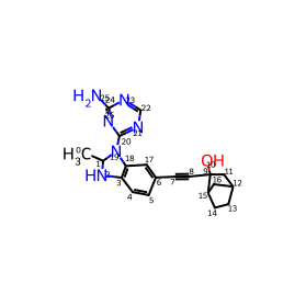 CC1Nc2ccc(C#CC3(O)CC4CCC3C4)cc2N1c1ncnc(N)n1